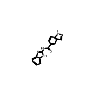 O=C(Nc1nc2ccccc2[nH]1)c1ccc2[nH]ncc2c1